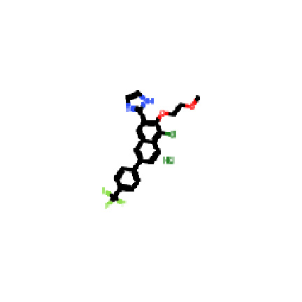 COCCOc1c(-c2ncc[nH]2)cc2cc(-c3ccc(C(F)(F)F)cc3)ccc2c1Cl.Cl